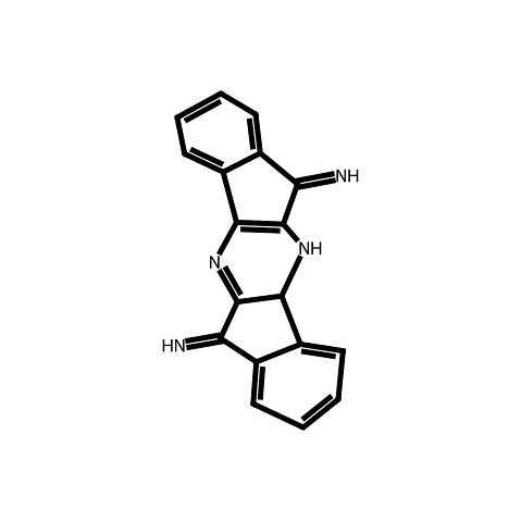 N=C1C2=C(N=C3C(=N)c4ccccc4C3N2)c2ccccc21